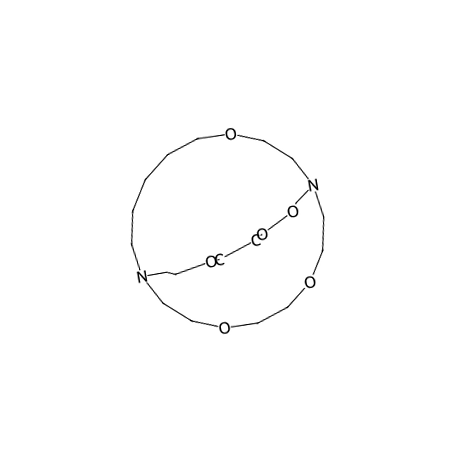 C1CCOCCN2CCOCCOCCN(CC1)CCOCCOOC2